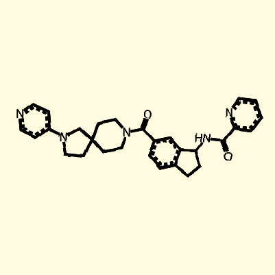 O=C(NC1CCc2ccc(C(=O)N3CCC4(CC3)CCN(c3ccncc3)C4)cc21)c1ccccn1